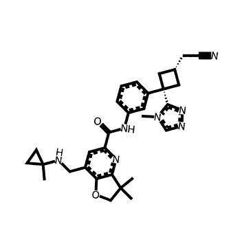 Cn1cnnc1[C@]1(c2cccc(NC(=O)c3cc(CNC4(C)CC4)c4c(n3)C(C)(C)CO4)c2)C[C@H](CC#N)C1